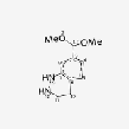 COC(OC)c1ccc2c(c1)NNCC2